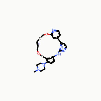 CN1CCN(c2ccc3cc2COC/C=C/CCOc2cc(ccn2)-c2ccnc(n2)N3)CC1